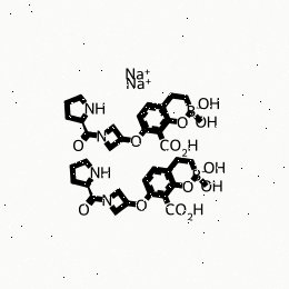 O=C(O)c1c(OC2CN(C(=O)[C@H]3CCCN3)C2)ccc2c1O[B-](O)(O)CC2.O=C(O)c1c(OC2CN(C(=O)[C@H]3CCCN3)C2)ccc2c1O[B-](O)(O)CC2.[Na+].[Na+]